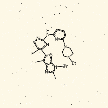 CCN1CCN(c2cccc(Nc3ncc(F)c(-c4sc5c(nc(C)n5C(C)C)c4C)n3)n2)CC1